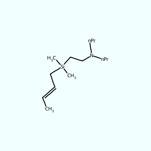 C/C=C/C[Si](C)(C)CCN(CCC)CCC